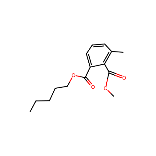 CCCCCOC(=O)c1cccc(C)c1C(=O)OC